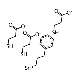 O=C([O-])CCS.O=C([O-])CCS.O=C([O-])CCS.[Sn+3][CH2]CCc1ccccc1